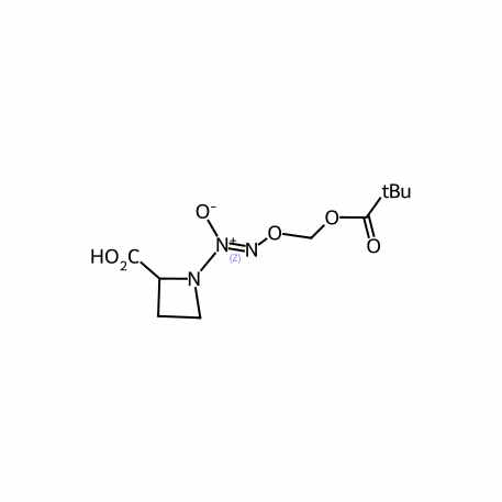 CC(C)(C)C(=O)OCO/N=[N+](\[O-])N1CCC1C(=O)O